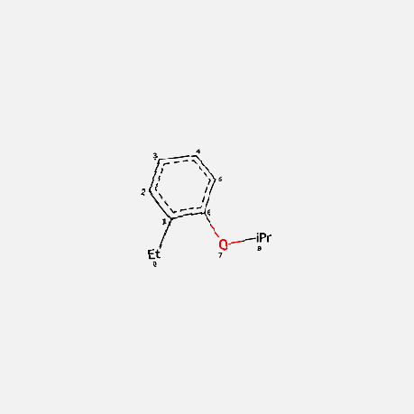 CCc1c[c]ccc1OC(C)C